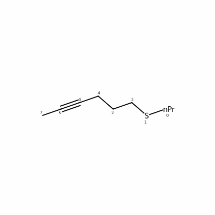 [CH2]CCSCCCC#CC